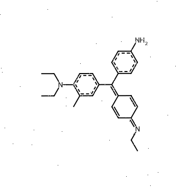 CCN=C1C=CC(=C(c2ccc(N)cc2)c2ccc(N(CC)CC)c(C)c2)C=C1